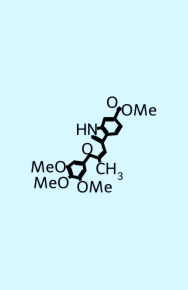 COC(=O)c1ccc2c(C=C(C)C(=O)c3cc(OC)c(OC)c(OC)c3)c[nH]c2c1